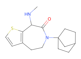 CNC1C(=O)N(C23CCC(CC2)C3)CCc2ccsc21